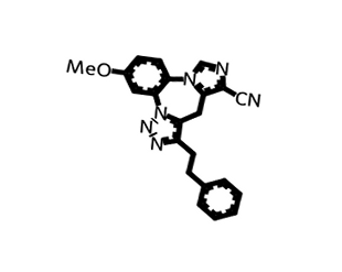 COc1ccc2c(c1)-n1nnc(CCc3ccccc3)c1Cc1c(C#N)ncn1-2